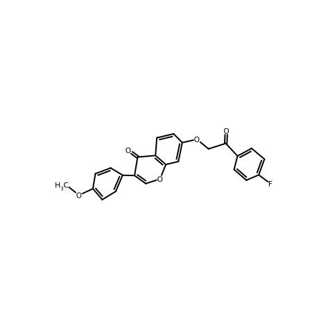 COc1ccc(-c2coc3cc(OCC(=O)c4ccc(F)cc4)ccc3c2=O)cc1